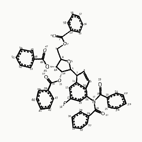 O=C(OCC1OC(C2C=Cc3c2cc(F)cc3N(C(=O)c2ccccc2)C(=O)c2ccccc2)[C@H](OC(=O)c2ccccc2)[C@@H]1OC(=O)c1ccccc1)c1ccccc1